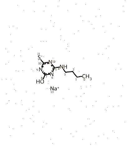 CCCCNc1nc(O)nc([S-])n1.[Na+]